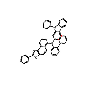 c1ccc(-c2nc3c(ccc4c(N(c5ccc6c7ccccc7n(-c7ccccc7)c6c5)c5ccccc5-c5ccccc5)cccc43)o2)cc1